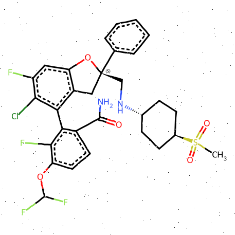 CS(=O)(=O)[C@H]1CC[C@H](NC[C@@]2(c3ccccc3)Cc3c(cc(F)c(Cl)c3-c3c(C(N)=O)ccc(OC(F)F)c3F)O2)CC1